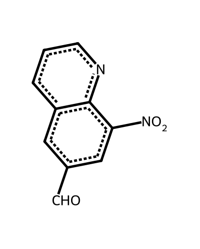 O=Cc1cc([N+](=O)[O-])c2ncccc2c1